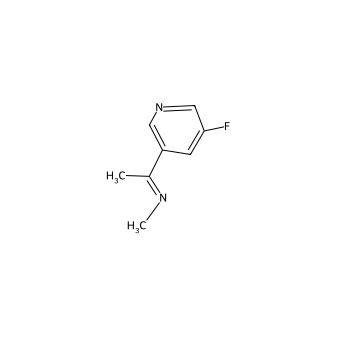 CN=C(C)c1cncc(F)c1